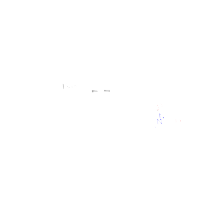 CCCCCCCCCCCCC#CC#CCCCCCCCCC(=O)N(N)CCO